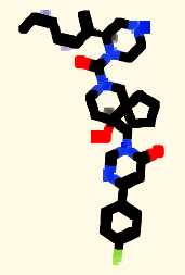 C=C(/C=C\C=C/C)[C@@H]1CNCCN1C(=O)N1CC[C@@](O)(Cn2cnc(-c3ccc(F)cc3)cc2=O)C2(CCCC2)C1